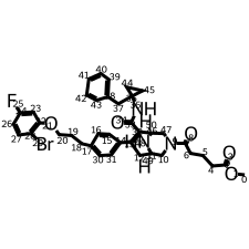 COC(=O)CCCC(=O)N1C[C@H]2CC(c3ccc(CCCOc4cc(F)ccc4Br)cc3)=C(C(=O)NC3(Cc4ccccc4)CC3)[C@@H](C1)N2